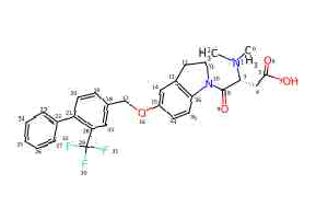 CN(C)[C@H](CC(=O)O)C(=O)N1CCc2cc(OCc3ccc(-c4ccccc4)c(C(F)(F)F)c3)ccc21